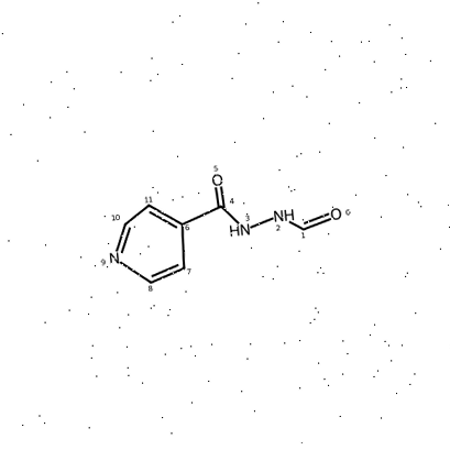 O=CNNC(=O)c1ccncc1